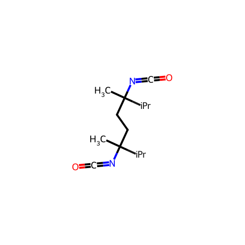 CC(C)C(C)(CCC(C)(N=C=O)C(C)C)N=C=O